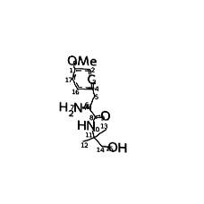 COc1ccc(C[C@H](N)C(=O)NC(C)(C)CO)cc1